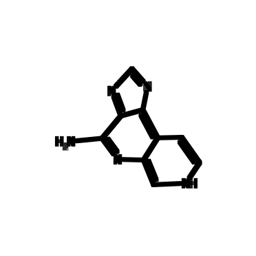 Nc1nc2c[nH]ccc2c2ncnc12